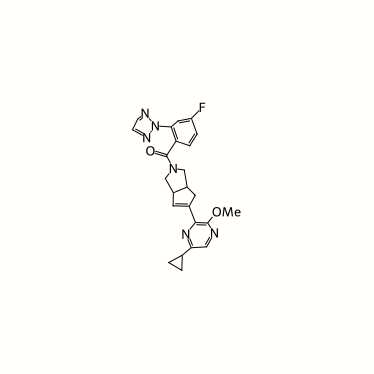 COc1ncc(C2CC2)nc1C1=CC2CN(C(=O)c3ccc(F)cc3-n3nccn3)CC2C1